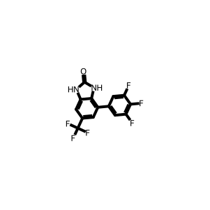 O=c1[nH]c2cc(C(F)(F)F)cc(-c3cc(F)c(F)c(F)c3)c2[nH]1